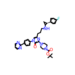 CC(C)(C)OC(=O)N1CCN(c2nc(CCCNC3C[C@H]3c3ccc(F)cc3)cn(-c3ccc(-c4ncccn4)cc3)c2=O)CC1